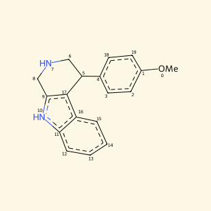 COc1ccc(C2CNCc3[nH]c4ccccc4c32)cc1